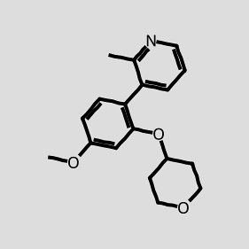 COc1ccc(-c2cccnc2C)c(OC2CCOCC2)c1